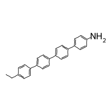 CCc1ccc(-c2ccc(-c3ccc(-c4ccc(N)cc4)cc3)cc2)cc1